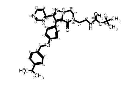 CC(C)c1ccc(COc2ccc(-c3c(-c4ccncn4)nn4c3C(=O)N(CCNC(=O)OC(C)(C)C)CC4)cc2)cc1